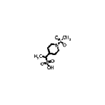 CC(C1CCN(S(C)(=O)=O)CC1)S(=O)(=O)O